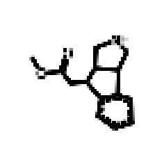 COC(=O)CC1c2ccccc2C2CNCC21